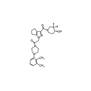 Cc1cccc(N2CCN(C(=O)Cn3nc(C(=O)N4CC[C@H](O)C(F)(F)C4)c4c3CCC4)CC2)c1C